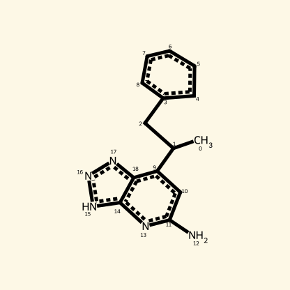 CC(Cc1ccccc1)c1cc(N)nc2[nH]nnc12